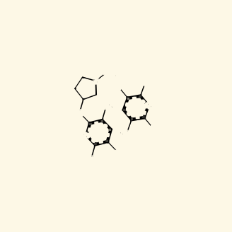 CN1CCC(Oc2nc(Cl)c(F)cc2C#N)C1.N#Cc1cc(F)c(Cl)nc1Cl